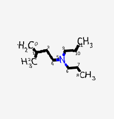 [CH2]C(C)CCN(CCC)CCC